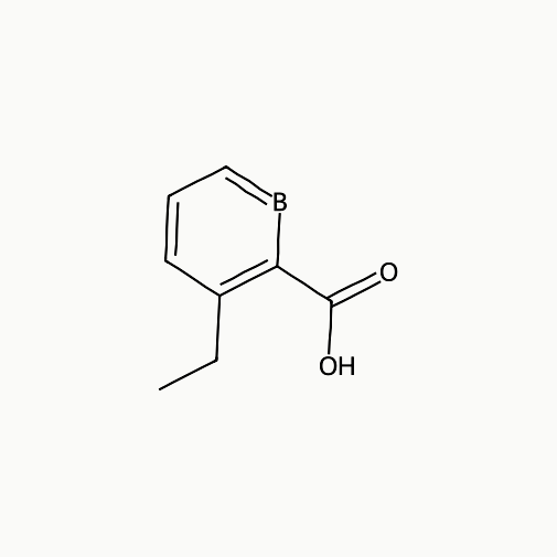 CCc1cccbc1C(=O)O